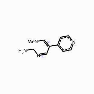 CN/C=C(\C=N/CN)c1ccncc1